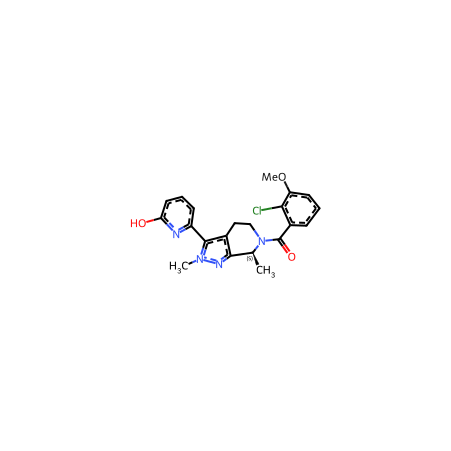 COc1cccc(C(=O)N2CCc3c(nn(C)c3-c3cccc(O)n3)[C@@H]2C)c1Cl